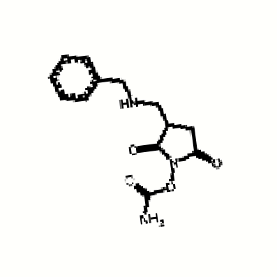 NC(=O)ON1C(=O)CC(CNCc2ccccc2)C1=O